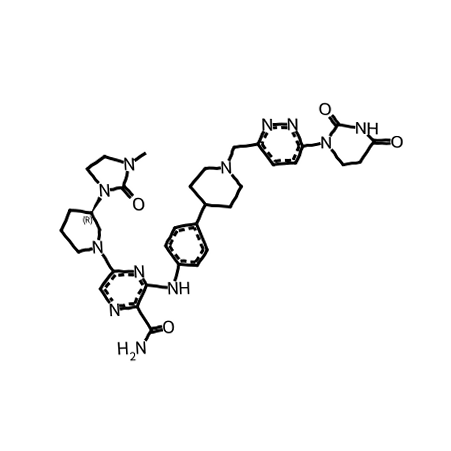 CN1CCN([C@@H]2CCCN(c3cnc(C(N)=O)c(Nc4ccc(C5CCN(Cc6ccc(N7CCC(=O)NC7=O)nn6)CC5)cc4)n3)C2)C1=O